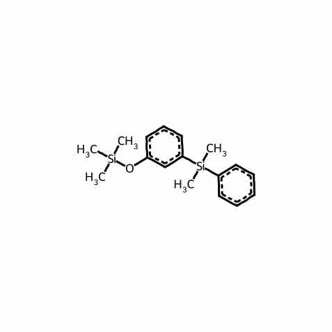 C[Si](C)(C)Oc1cccc([Si](C)(C)c2ccccc2)c1